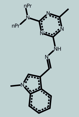 CCCN(CCC)c1nc(C)nc(N/N=C/c2cn(C)c3ccccc23)n1